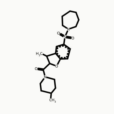 CC1CCN(C(=O)C2Oc3ccc(S(=O)(=O)N4CCCCCC4)cc3C2C)CC1